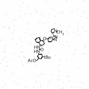 CC(=O)OCc1cc(NC(=O)N[C@H]2CC[C@@H](Oc3ccc4nnc([C@@H]5CCCN5C)n4c3)c3ccccc32)cc(C(C)(C)C)c1